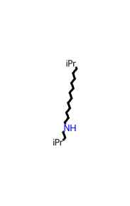 CC(C)CCCCCCCCCCCCNCCC(C)C